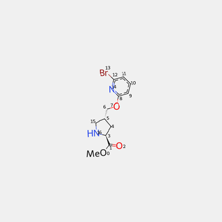 COC(=O)[C@@H]1C[C@@H](COc2cccc(Br)n2)CN1